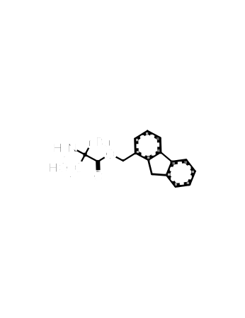 CCCCC(N)(C(=O)O)C(=O)OCc1cccc2c1Cc1ccccc1-2